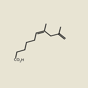 C=C(C)CC(C)=CCCCCC(=O)O